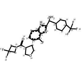 N[C@H](c1nc2c(F)c([C@@H]3COC[C@H]3C(=O)N3CC(F)(F)C3)ccc2[nH]1)C1CCC(C(F)(F)F)CC1